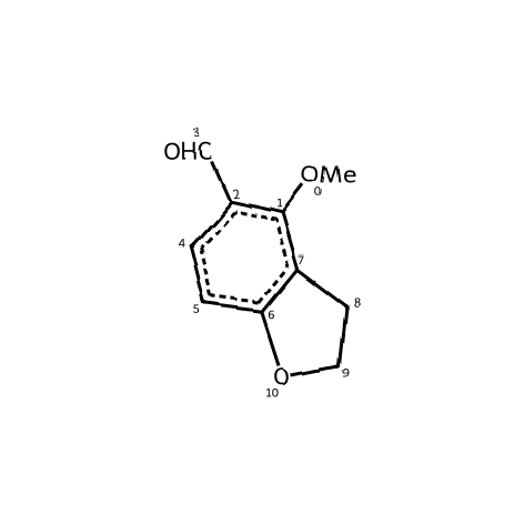 COc1c(C=O)ccc2c1CCO2